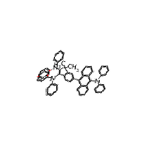 CC1(C)C(N(c2ccccc2)c2ccccc2)=C(N(c2ccccc2)c2ccccc2)c2ccc(-c3c4ccccc4c(N(c4ccccc4)c4ccccc4)c4ccccc34)cc21